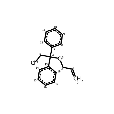 C=CCOC(CCl)(c1ccccc1)c1ccccc1